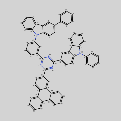 c1ccc(-c2ccc3c(c2)c2ccccc2n3-c2cccc(-c3nc(-c4ccc5c6ccccc6c6ccccc6c5c4)nc(-c4ccc5c(c4)c4ccccc4n5-c4ccccc4)n3)c2)cc1